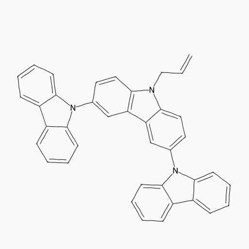 C=CCn1c2ccc(-n3c4ccccc4c4ccccc43)cc2c2cc(-n3c4ccccc4c4ccccc43)ccc21